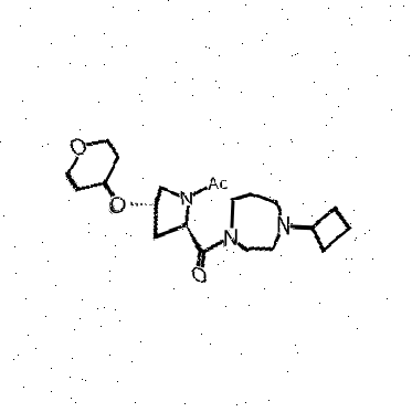 CC(=O)N1C[C@@H](OC2CCOCC2)C[C@@H]1C(=O)N1CCCN(C2CCC2)CC1